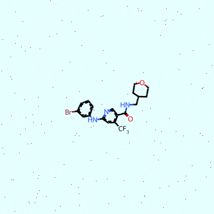 O=C(NCC1CCOCC1)c1cnc(Nc2cccc(Br)c2)cc1C(F)(F)F